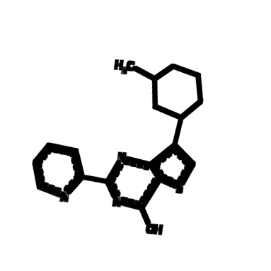 CC1CCCC(c2csc3c(O)nc(-c4ccccn4)nc23)C1